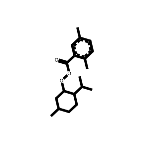 Cc1ccc(C)c(C(=O)OO[C]2CC(C)CCC2C(C)C)c1